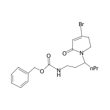 CCCC(CCNC(=O)OCc1ccccc1)N1CCC(Br)=CC1=O